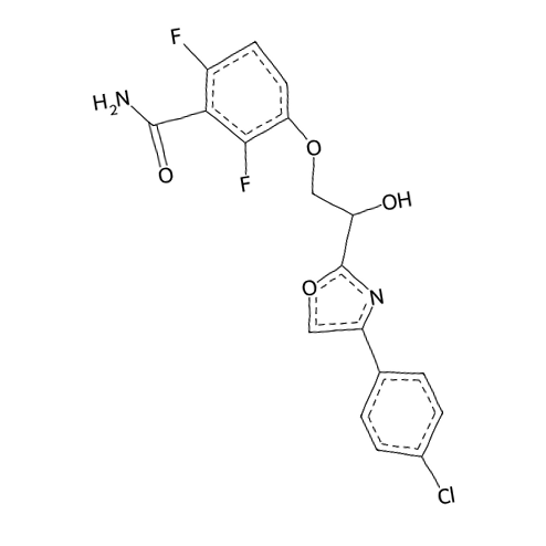 NC(=O)c1c(F)ccc(OCC(O)c2nc(-c3ccc(Cl)cc3)co2)c1F